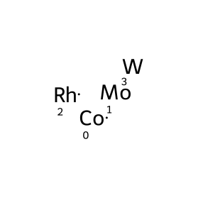 [Co].[Mo].[Rh].[W]